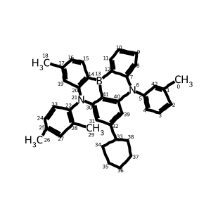 Cc1cccc(N2c3ccccc3B3c4ccc(C)cc4N(c4ccc(C)cc4C)c4cc(C5CCCCC5)cc2c43)c1